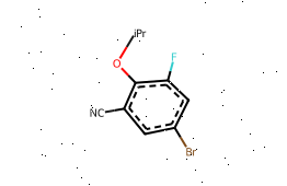 CC(C)Oc1c(F)cc(Br)cc1C#N